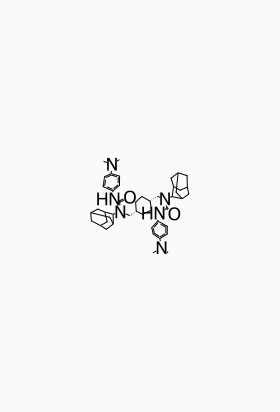 CN(C)c1ccc(NC(=O)N(C[C@H]2CC[C@@H](CN(C(=O)Nc3ccc(N(C)C)cc3)C3C4CC5CC(C4)CC3C5)CC2)C2C3CC4CC(C3)CC2C4)cc1